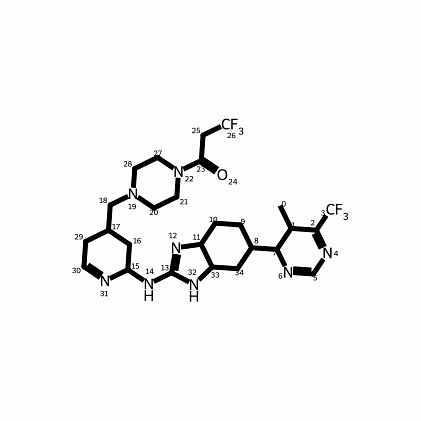 CC1C(C(F)(F)F)=NC=NC1C1CCC2N=C(NC3CC(CN4CCN(C(=O)CC(F)(F)F)CC4)CC=N3)NC2C1